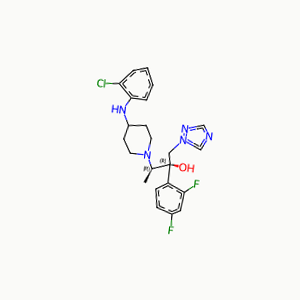 C[C@@H](N1CCC(Nc2ccccc2Cl)CC1)[C@](O)(Cn1cncn1)c1ccc(F)cc1F